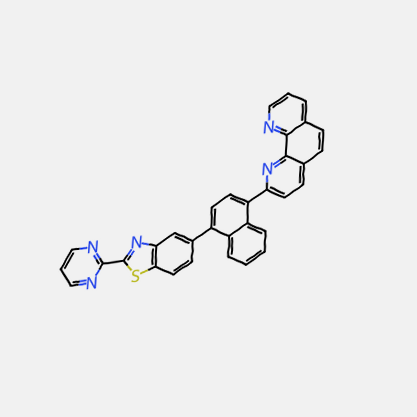 c1cnc(-c2nc3cc(-c4ccc(-c5ccc6ccc7cccnc7c6n5)c5ccccc45)ccc3s2)nc1